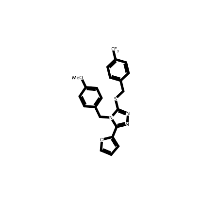 COc1ccc(Cn2c(SCc3ccc(C(F)(F)F)cc3)nnc2-c2ccco2)cc1